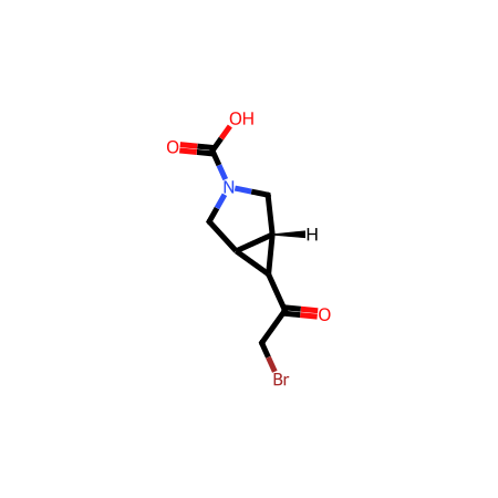 O=C(CBr)C1C2CN(C(=O)O)C[C@@H]21